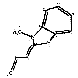 CN1/C(=C\C=O)Sc2ccccc21